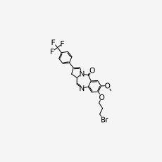 COc1cc2c(cc1OCCCBr)N=CC1CC(c3ccc(C(F)(F)F)cc3)=CN1C2=O